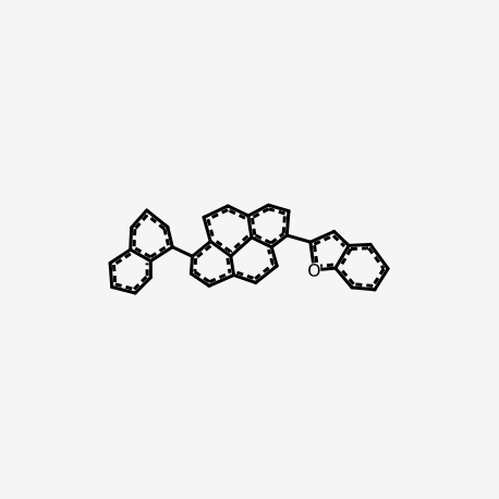 c1ccc2oc(-c3ccc4ccc5c(-c6cccc7ccccc67)ccc6ccc3c4c65)cc2c1